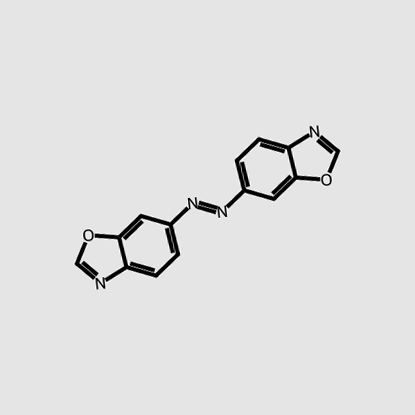 c1nc2ccc(/N=N/c3ccc4ncoc4c3)cc2o1